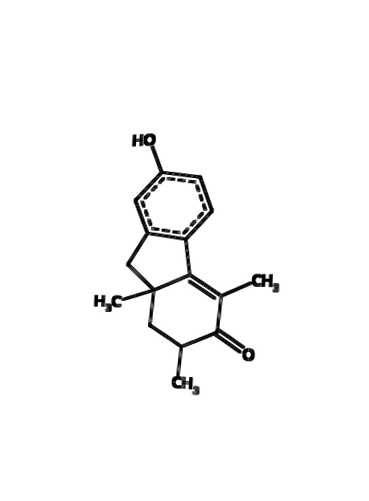 CC1=C2c3ccc(O)cc3CC2(C)CC(C)C1=O